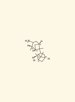 BC1C[C@H]2C[C@@H]([C@@H]1C)C2(C)C1C[C@H]2C[C@@H]([C@@H]1C)C2(C)C